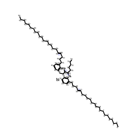 CCCCCCCCCCCCCCCCC/C=C/CCCc1ccccc1/N=C(CCCCC)\C(CC)=N\c1ccccc1CCC/C=C/CCCCCCCCCCCCCCCCC.[Ni]